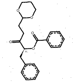 O=C(O[C@@H](Cc1ccccc1)C(=O)CCC1OCCCO1)c1ccccc1